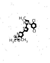 Cc1cn(-c2cc(Cl)ccc2Cl)c(-c2ccc(-c3cnc(S(C)(=O)=O)c(C)c3)s2)n1